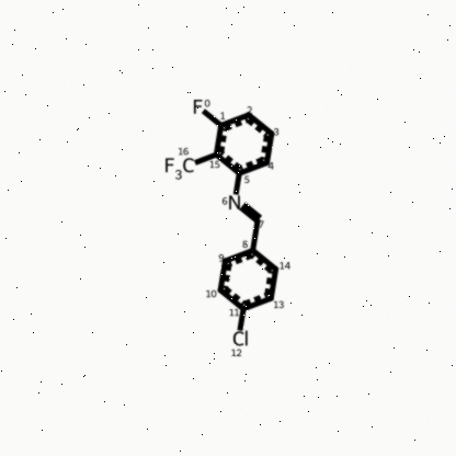 Fc1cccc(/N=C/c2ccc(Cl)cc2)c1C(F)(F)F